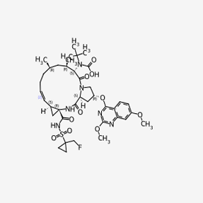 COc1ccc2c(O[C@@H]3C[C@H]4C(=O)N[C@]5(C(=O)NS(=O)(=O)C6(CF)CC6)C[C@H]5/C=C\CC[C@@H](C)C[C@@H](C)[C@H](N(C(=O)O)C(C)(C)C)C(=O)N4C3)nc(OC)nc2c1